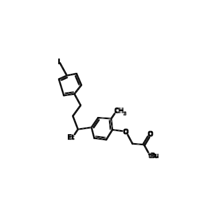 CCC(CCc1ccc(I)cc1)c1ccc(OCC(=O)C(C)(C)C)c(C)c1